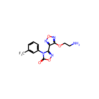 NCCOc1nonc1-c1noc(=O)n1-c1cccc(C(F)(F)F)c1